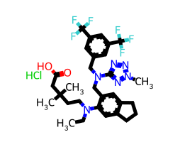 CCN(CCC(C)(C)CC(=O)O)c1cc2c(cc1CN(Cc1cc(C(F)(F)F)cc(C(F)(F)F)c1)c1nnn(C)n1)CCC2.Cl